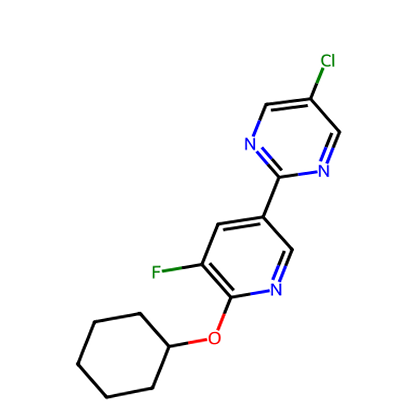 Fc1cc(-c2ncc(Cl)cn2)cnc1OC1CCCCC1